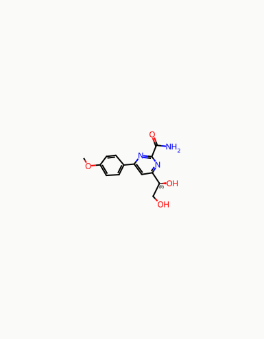 COc1ccc(-c2cc([C@@H](O)CO)nc(C(N)=O)n2)cc1